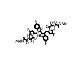 CCC(NC(=O)C(C)NC)C(=O)N1CC(F)CC1Cc1c(-c2nc3cc(F)ccc3n2CC2CC(F)CN2C(=O)C(CC)NC(=O)C(C)NC)[nH]c2cc(F)ccc12